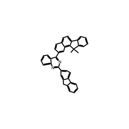 CC1(C)c2ccccc2-c2ccc3ccc(-c4nc(-c5ccc6c(c5)Cc5ccccc5-6)nc5ccccc45)cc3c21